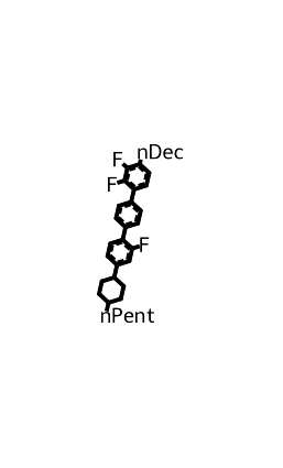 CCCCCCCCCCc1ccc(-c2ccc(-c3ccc(C4CCC(CCCCC)CC4)cc3F)cc2)c(F)c1F